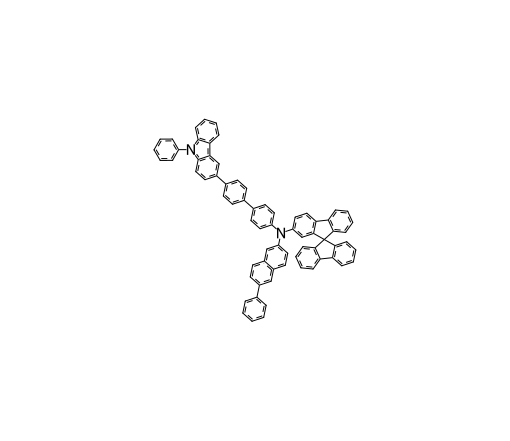 c1ccc(-c2ccc3cc(N(c4ccc(-c5ccc(-c6ccc7c(c6)c6ccccc6n7-c6ccccc6)cc5)cc4)c4ccc5c(c4)C4(c6ccccc6-c6ccccc64)c4ccccc4-5)ccc3c2)cc1